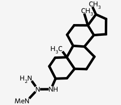 CNN(N)NC1CCC2(C)C(CCC3C4CCC(C)C4(C)CCC32)C1